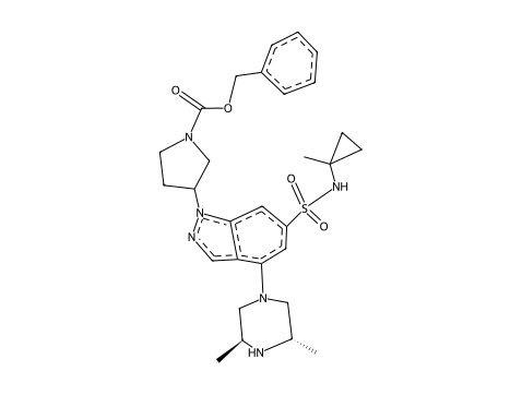 C[C@H]1CN(c2cc(S(=O)(=O)NC3(C)CC3)cc3c2cnn3C2CCN(C(=O)OCc3ccccc3)C2)C[C@H](C)N1